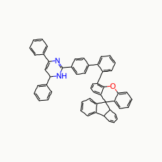 C1=CC2c3ccccc3C3(c4ccccc4Oc4c(-c5ccccc5-c5ccc(C6=NC(c7ccccc7)=CC(c7ccccc7)N6)cc5)cccc43)C2C=C1